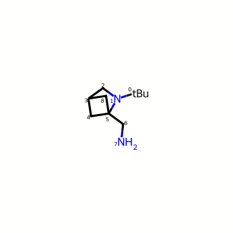 CC(C)(C)N1CC2CC1(CN)C2